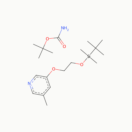 CC(C)(C)OC(N)=O.Cc1cncc(OCCO[Si](C)(C)C(C)(C)C)c1